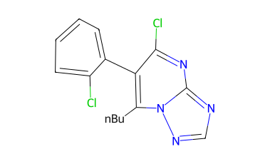 CCCCc1c(-c2ccccc2Cl)c(Cl)nc2ncnn12